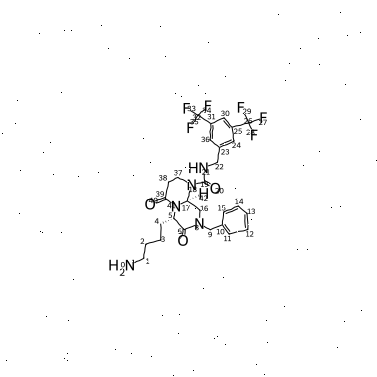 NCCCC[C@H]1C(=O)N(Cc2ccccc2)C[C@@H]2N(C(=O)NCc3cc(C(F)(F)F)cc(C(F)(F)F)c3)CCC(=O)N21